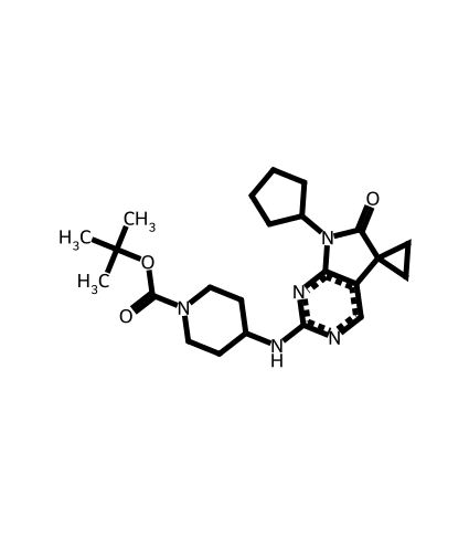 CC(C)(C)OC(=O)N1CCC(Nc2ncc3c(n2)N(C2CCCC2)C(=O)C32CC2)CC1